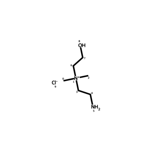 C[N+](C)(CCN)CCO.[Cl-]